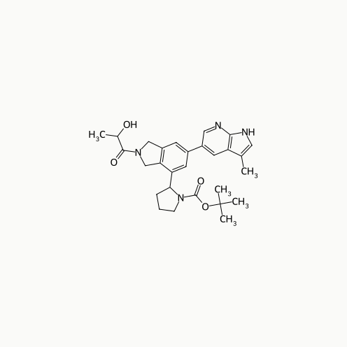 Cc1c[nH]c2ncc(-c3cc4c(c(C5CCCN5C(=O)OC(C)(C)C)c3)CN(C(=O)C(C)O)C4)cc12